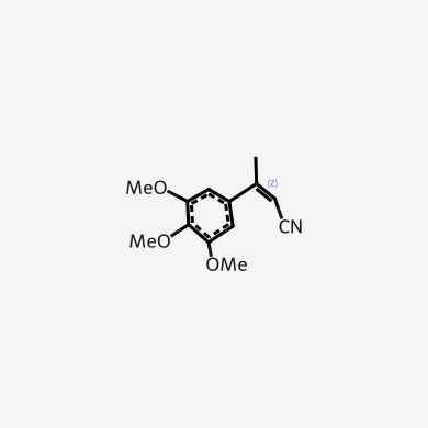 COc1cc(/C(C)=C\C#N)cc(OC)c1OC